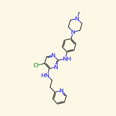 CN1CCN(c2ccc(Nc3ncc(Cl)c(NCCc4ccccn4)n3)cc2)CC1